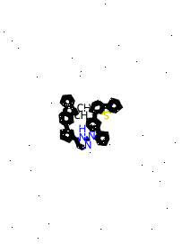 CC1(C)c2ccccc2-c2ccc(-c3cccc(C4C=CN=C(n5c6ccccc6c6cc(C7CC=Cc8c7sc7ccccc87)ccc65)N4)c3)cc21